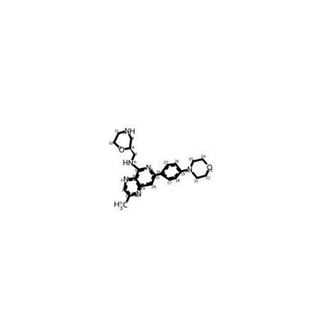 Cc1cnc2c(NC[C@@H]3CNCCO3)nc(-c3ccc(N4CCOCC4)cc3)cc2n1